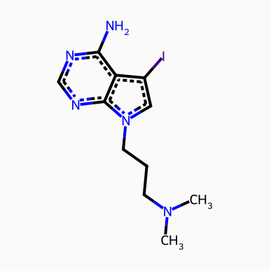 CN(C)CCCn1cc(I)c2c(N)ncnc21